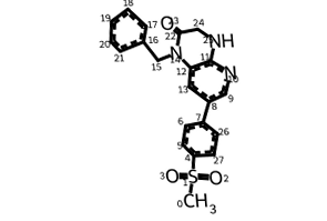 CS(=O)(=O)c1ccc(-c2cnc3c(c2)N(Cc2ccccc2)C(=O)CN3)cc1